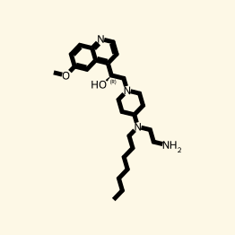 CCCCCCCN(CCN)C1CCN(C[C@H](O)c2ccnc3ccc(OC)cc23)CC1